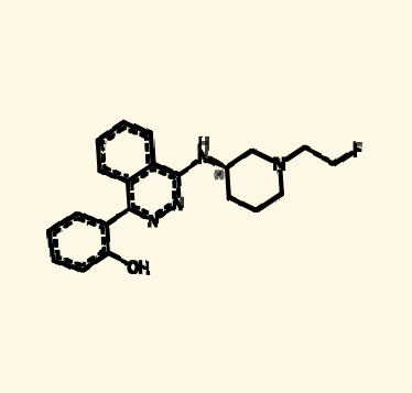 Oc1ccccc1-c1nnc(N[C@@H]2CCCN(CCF)C2)c2ccccc12